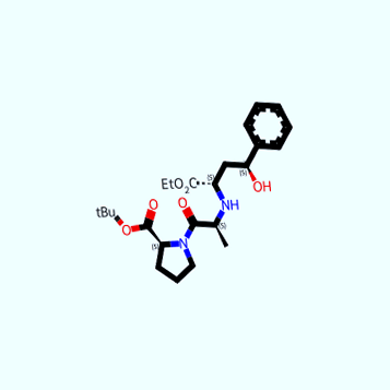 CCOC(=O)[C@H](C[C@H](O)c1ccccc1)N[C@@H](C)C(=O)N1CCC[C@H]1C(=O)OC(C)(C)C